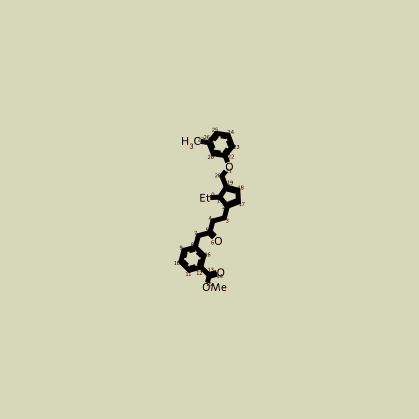 CCC1C(CCC(=O)Cc2cccc(C(=O)OC)c2)=CC=C1COc1cccc(C)c1